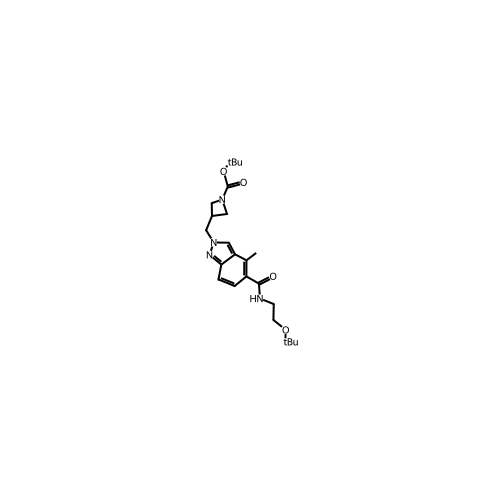 Cc1c(C(=O)NCCOC(C)(C)C)ccc2nn(CC3CN(C(=O)OC(C)(C)C)C3)cc12